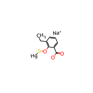 CCc1cccc(C(=O)[O-])c1O[S][Hg].[Na+]